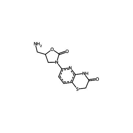 NCC1CN(c2ccc3c(n2)NC(=O)CS3)C(=O)O1